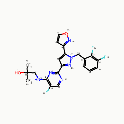 OC(CNc1nc(-c2cc(-c3ccon3)n(Cc3cccc(F)c3F)n2)ncc1F)(C(F)(F)F)C(F)(F)F